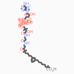 CC(C)(CCCCCCc1cccc(CCCCC(C)(C)C(=O)CCNC(=O)CCNC(=O)C(O)C(C)(C)COP(=O)(O)OP(=O)(O)OCC2OC(n3cnc4c(N)ncnc43)C(O)C2OP(=O)(O)O)c1)C(=O)O